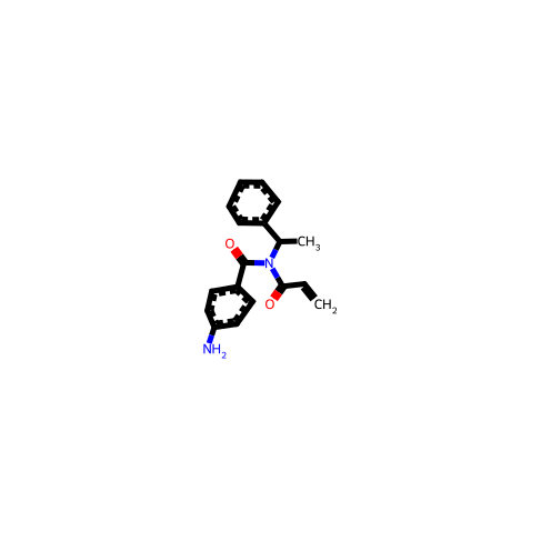 C=CC(=O)N(C(=O)c1ccc(N)cc1)C(C)c1ccccc1